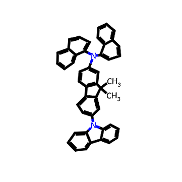 CC1(C)c2cc(N(c3cccc4ccccc34)c3cccc4ccccc34)ccc2-c2ccc(-n3c4ccccc4c4ccccc43)cc21